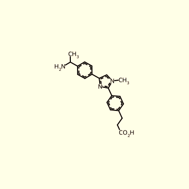 CC(N)c1ccc(-c2cn(C)c(-c3ccc(CCC(=O)O)cc3)n2)cc1